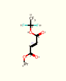 CC(C)OC(=O)/C=C/C(=O)OC(F)(F)C(F)(F)F